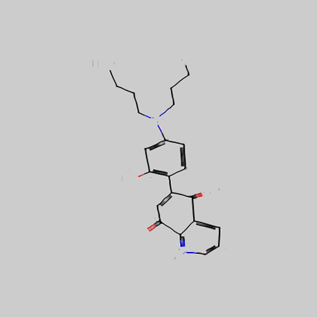 CCCCN(CCCC)c1ccc(C2=CC(=O)c3ncccc3C2=O)c(O)c1